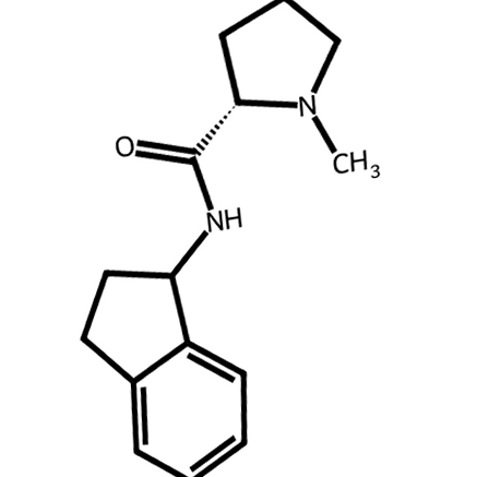 CN1CCC[C@H]1C(=O)NC1CCc2ccccc21